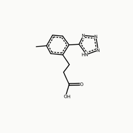 Cc1ccc(-c2nnn[nH]2)c(CCC(=O)O)c1